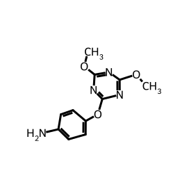 COc1nc(OC)nc(Oc2ccc(N)cc2)n1